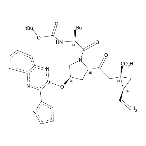 C=C[C@@H]1C[C@]1(CC(=O)[C@@H]1C[C@@H](Oc2nc3ccccc3nc2-c2cccs2)CN1C(=O)[C@@H](NC(=O)OC(C)(C)C)C(C)(C)C)C(=O)O